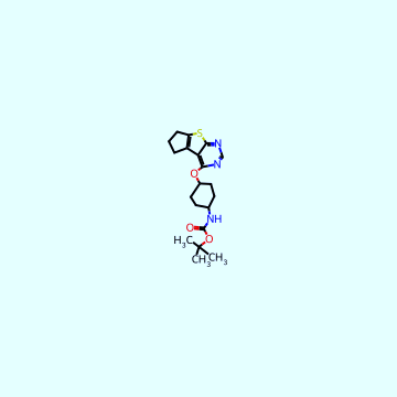 CC(C)(C)OC(=O)NC1CCC(Oc2ncnc3sc4c(c23)CCC4)CC1